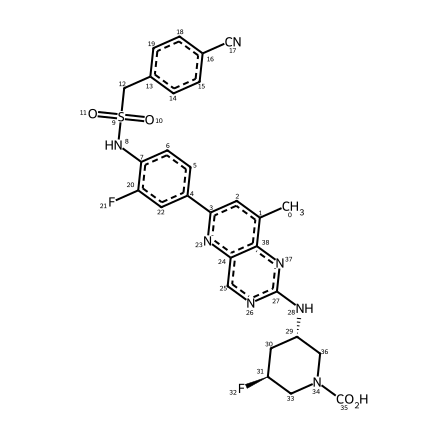 Cc1cc(-c2ccc(NS(=O)(=O)Cc3ccc(C#N)cc3)c(F)c2)nc2cnc(N[C@H]3C[C@H](F)CN(C(=O)O)C3)nc12